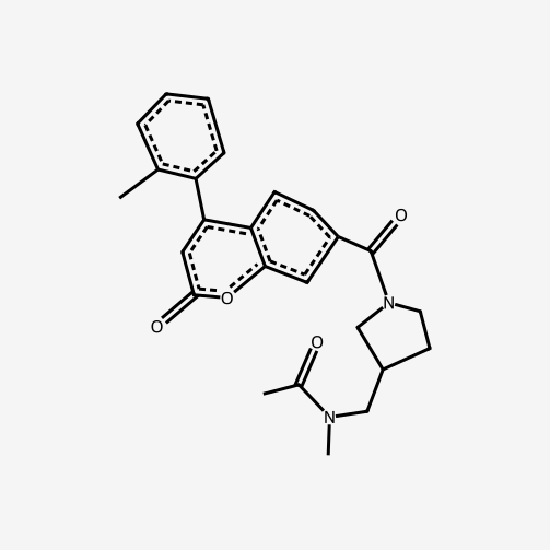 CC(=O)N(C)CC1CCN(C(=O)c2ccc3c(-c4ccccc4C)cc(=O)oc3c2)C1